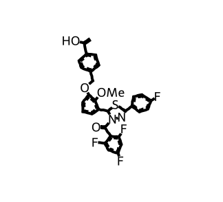 C=C(O)c1ccc(COc2cccc(C3SC(c4ccc(F)cc4)=NN3C(=O)c3c(F)cc(F)cc3F)c2OC)cc1